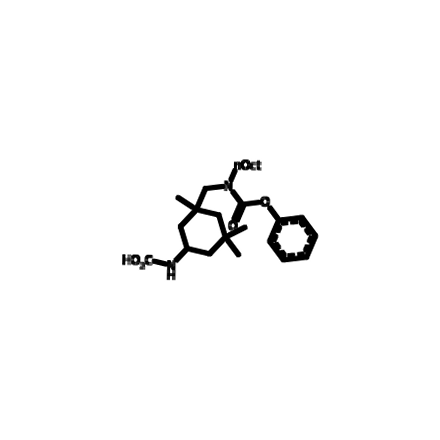 CCCCCCCCN(CC1(C)CC(NC(=O)O)CC(C)(C)C1)C(=O)Oc1ccccc1